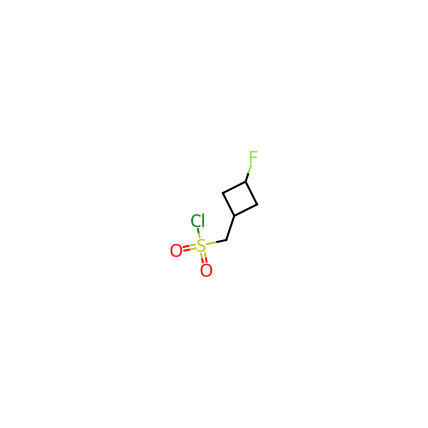 O=S(=O)(Cl)CC1CC(F)C1